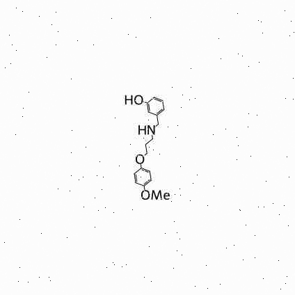 COc1ccc(OCCCNCc2cccc(O)c2)cc1